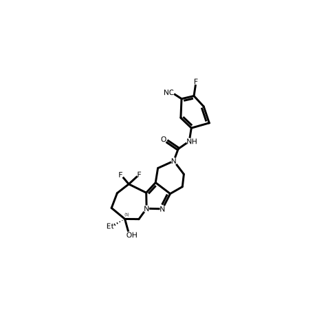 CC[C@]1(O)CCC(F)(F)c2c3c(nn2C1)CCN(C(=O)Nc1ccc(F)c(C#N)c1)C3